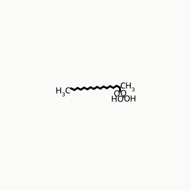 CCCCCCCCCCCCCCCCC(C)C(=O)OC(O)O